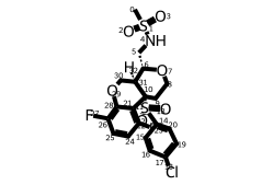 CS(=O)(=O)NC[C@@H]1OCC[C@@]2(S(=O)(=O)c3ccc(Cl)cc3)c3c(F)ccc(F)c3OC[C@@H]12